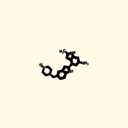 Cc1nc2c(-c3cc4cc(CN5CC[S+]([O-])CC5)ccc4[nH]3)cc(N)nc2[nH]1